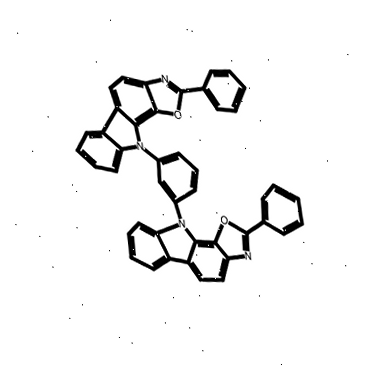 c1ccc(-c2nc3ccc4c5ccccc5n(-c5cccc(-n6c7ccccc7c7ccc8nc(-c9ccccc9)oc8c76)c5)c4c3o2)cc1